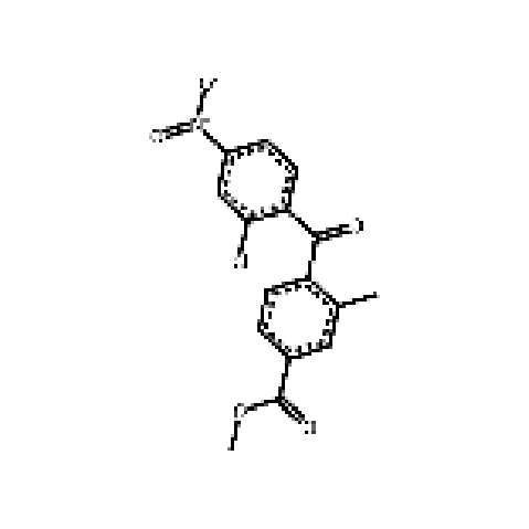 COC(=O)c1ccc(C(=O)c2ccc([N+](=O)[O-])cc2Cl)c(C)c1